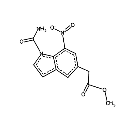 COC(=O)Cc1cc([N+](=O)[O-])c2c(c[c]n2C(N)=O)c1